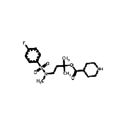 CN(CCC(C)(C)OC(=O)C1CCNCC1)S(=O)(=O)c1ccc(F)cc1